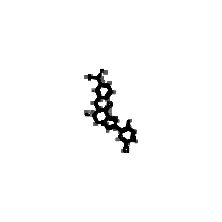 Cc1cnc(Cl)nc1-c1cn2c(n1)C(=O)N(Cc1cccc(C(F)F)c1)[C@@H](C)C2